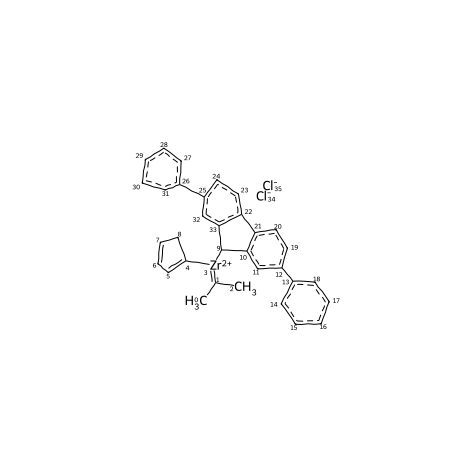 C[C](C)=[Zr+2]([C]1=CC=CC1)[CH]1c2cc(-c3ccccc3)ccc2-c2ccc(-c3ccccc3)cc21.[Cl-].[Cl-]